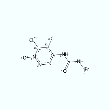 CC(C)NC(=O)Nc1cn[n+]([O-])c(Cl)c1Cl